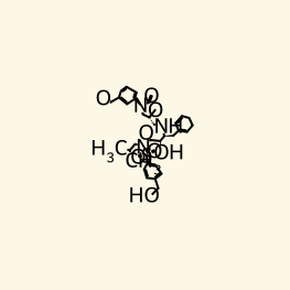 CC(C)CN(C[C@@H](O)[C@H](CC1=CCCC=C1)NC(=O)[C@@H]1CN(c2cccc(C=O)c2)C(=O)O1)S(=O)(=O)c1ccc(CO)cc1